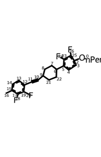 CCCCCOc1ccc(C2CCC(C#Cc3ccc(C)c(F)c3F)CC2)c(F)c1F